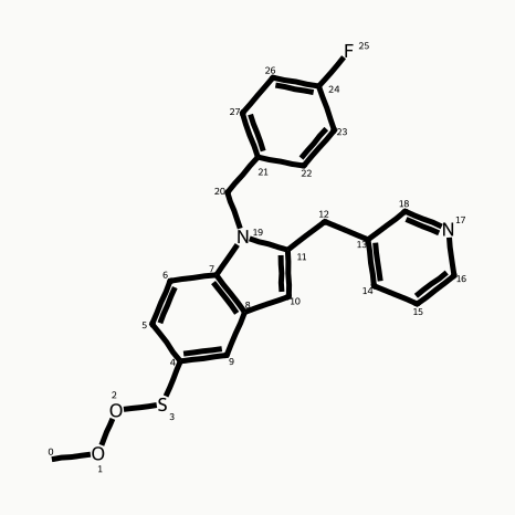 COOSc1ccc2c(c1)cc(Cc1cccnc1)n2Cc1ccc(F)cc1